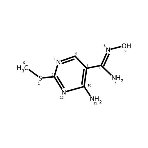 CSc1ncc(C(N)=NO)c(N)n1